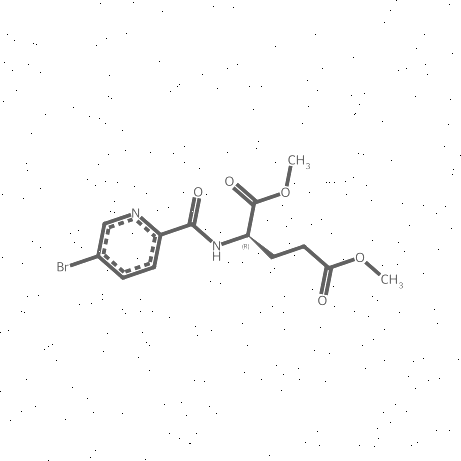 COC(=O)CC[C@@H](NC(=O)c1ccc(Br)cn1)C(=O)OC